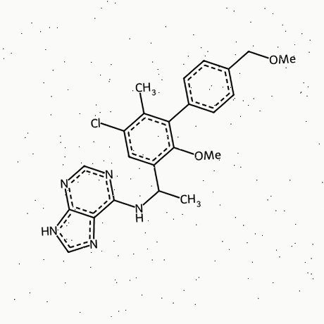 COCc1ccc(-c2c(C)c(Cl)cc(C(C)Nc3ncnc4[nH]cnc34)c2OC)cc1